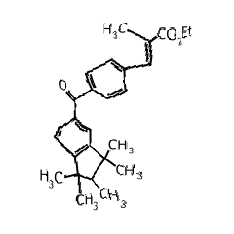 CCOC(=O)/C(C)=C/c1ccc(C(=O)c2ccc3c(c2)C(C)(C)C(C)C3(C)C)cc1